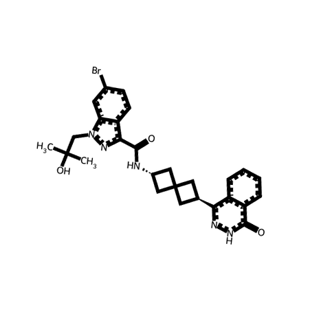 CC(C)(O)Cn1nc(C(=O)N[C@H]2CC3(C2)C[C@H](c2n[nH]c(=O)c4ccccc42)C3)c2ccc(Br)cc21